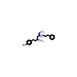 CC(CCc1ccc(C(C)C)cc1)CC(CN)NCCCc1ccccc1